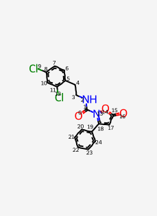 O=C(NCCc1ccc(Cl)cc1Cl)n1oc(=O)cc1-c1ccccc1